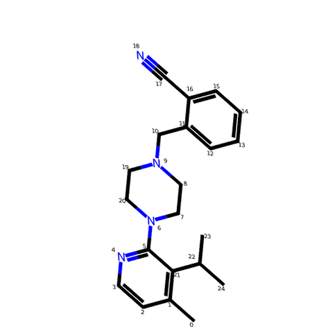 Cc1ccnc(N2CCN(Cc3ccccc3C#N)CC2)c1C(C)C